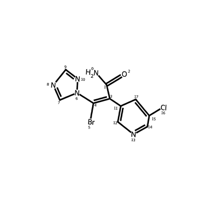 NC(=O)/C(=C(/Br)n1cncn1)c1cncc(Cl)c1